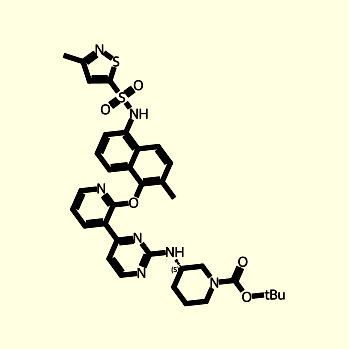 Cc1cc(S(=O)(=O)Nc2cccc3c(Oc4ncccc4-c4ccnc(N[C@H]5CCCN(C(=O)OC(C)(C)C)C5)n4)c(C)ccc23)sn1